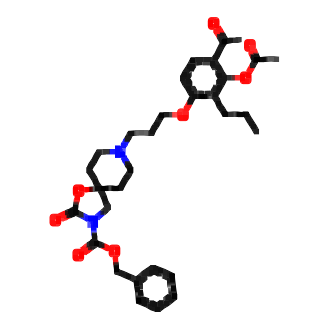 CCCc1c(OCCCN2CCC3(CC2)CN(C(=O)OCc2ccccc2)C(=O)O3)ccc(C(C)=O)c1OC(C)=O